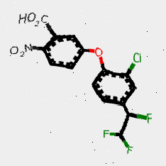 O=C(O)c1cc(Oc2ccc(C(F)C(F)F)cc2Cl)ccc1[N+](=O)[O-]